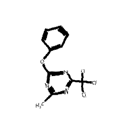 Cc1nc(Oc2ccccc2)nc(C(Cl)(Cl)Cl)n1